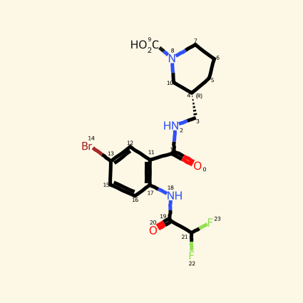 O=C(NC[C@H]1CCCN(C(=O)O)C1)c1cc(Br)ccc1NC(=O)C(F)F